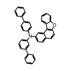 c1ccc(-c2ccc(N(c3cccc(-c4ccccc4)c3)c3ccc4ccc5oc6ccccc6c5c4c3)cc2)cc1